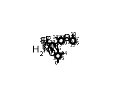 Cc1ccc(Cn2c(-c3ccc(Oc4ccccc4C)cc3C)cc(C(F)(F)F)c(N)c2=O)c(C)c1